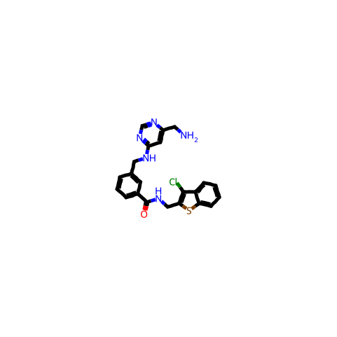 NCc1cc(NCc2cccc(C(=O)NCc3sc4ccccc4c3Cl)c2)ncn1